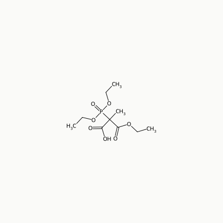 CCOC(=O)C(C)(C(=O)O)P(=O)(OCC)OCC